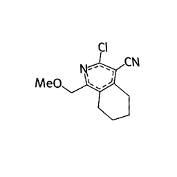 COCc1nc(Cl)c(C#N)c2c1CCCC2